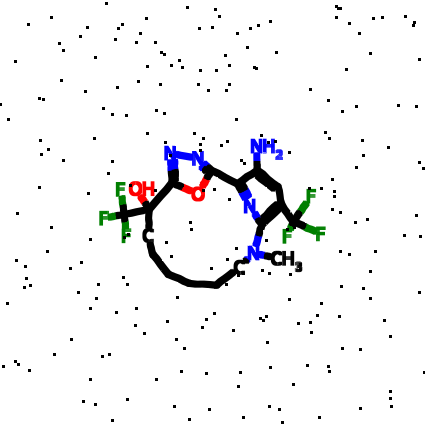 CN1CCCCCCC(O)(C(F)(F)F)c2nnc(o2)-c2nc1c(C(F)(F)F)cc2N